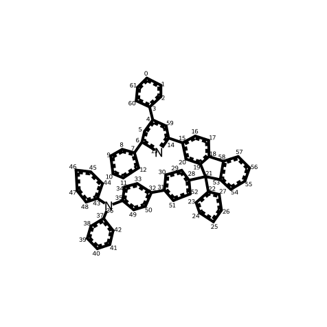 c1ccc(-c2cc(-c3ccccc3)nc(-c3ccc4c(c3)C(c3ccccc3)(c3ccc(-c5ccc(N(c6ccccc6)c6ccccc6)cc5)cc3)c3ccccc3-4)c2)cc1